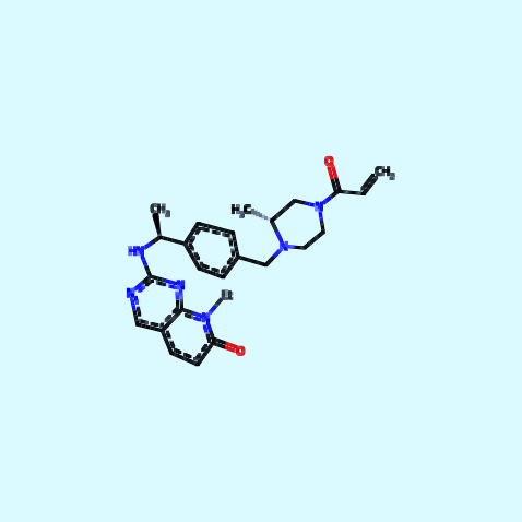 C=CC(=O)N1CCN(Cc2ccc([C@H](C)Nc3ncc4ccc(=O)n(CC)c4n3)cc2)[C@H](C)C1